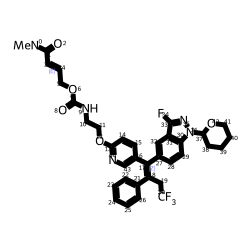 CNC(=O)/C=C/COC(=O)NCCOc1ccc(/C(=C(/CC(F)(F)F)c2ccccc2)c2ccc3c(c2)c(F)nn3C2CCCCO2)cn1